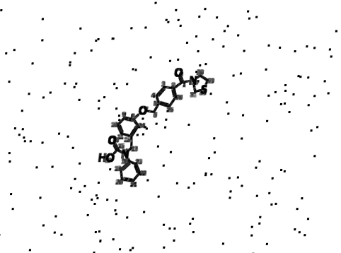 O=C(c1ccc(COc2cccc(CN(C(=O)O)c3ccccc3)c2)cc1)N1CCSC1